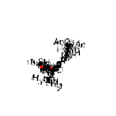 CC(=O)OC[C@@H](OC(C)=O)[C@@H](O)[C@H](O)[C@@H](O)CNS(=O)(=O)c1ccc(-c2ccc(-c3nc4nc(O[C@@H]5COC6C(O[Si](C)(C)C(C)(C)C)CO[C@@H]65)n(COCC[Si](C)(C)C)c4cc3Cl)cc2)cc1